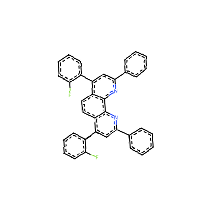 Fc1ccccc1-c1cc(-c2ccccc2)nc2c1ccc1c(-c3ccccc3F)cc(-c3ccccc3)nc12